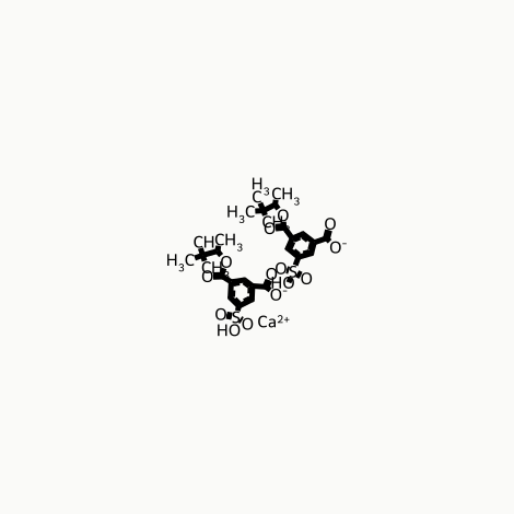 CC(OC(=O)c1cc(C(=O)[O-])cc(S(=O)(=O)O)c1)C(C)(C)C.CC(OC(=O)c1cc(C(=O)[O-])cc(S(=O)(=O)O)c1)C(C)(C)C.[Ca+2]